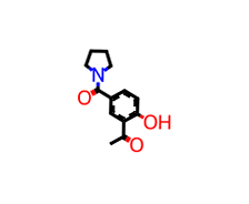 CC(=O)c1cc(C(=O)N2CCCC2)ccc1O